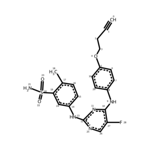 C#CCCOc1ccc(Nc2nc(Nc3ccc(C)c(S(N)(=O)=O)c3)ncc2F)cc1